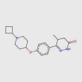 CC1CC(=O)NN=C1c1ccc(OC2CCN(C3CCC3)CC2)cc1